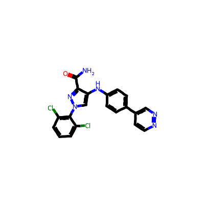 NC(=O)c1nn(-c2c(Cl)cccc2Cl)cc1Nc1ccc(-c2ccnnc2)cc1